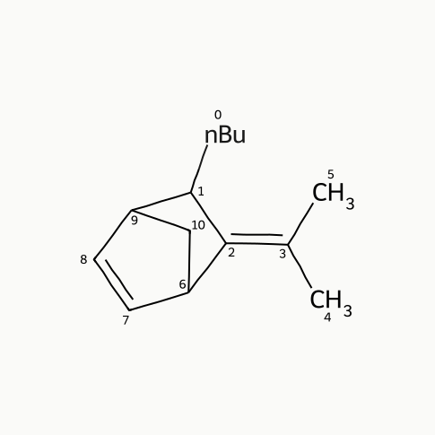 CCCCC1C(=C(C)C)C2C=CC1C2